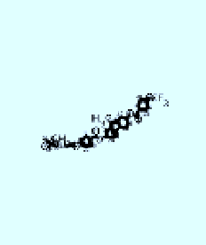 CC1c2cc(OC(=O)c3ccc(OCCOCC4(C)COC4)cc3)ccc2-c2ccc(OC(=O)c3ccc(OC(F)(F)F)cc3)cc21